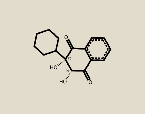 O=C1c2ccccc2C(=O)[C@](O)(C2CCCCC2)[C@H]1O